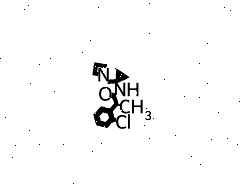 C[C@@H](C(=O)NC1(CN2CCC2)CC1)c1ccccc1Cl